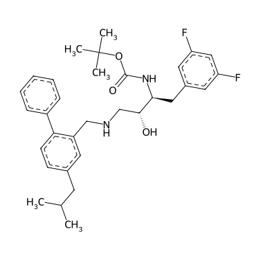 CC(C)Cc1ccc(-c2ccccc2)c(CNC[C@@H](O)[C@H](Cc2cc(F)cc(F)c2)NC(=O)OC(C)(C)C)c1